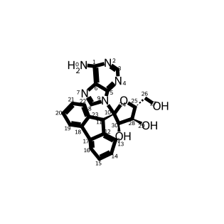 Nc1ncnc2c1ncn2[C@]1(C2c3ccccc3-c3ccccc32)O[C@H](CO)[C@@H](O)[C@H]1O